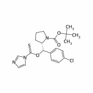 CC(C)(C)OC(=O)N1CCC[C@H]1C(OC(=S)n1ccnc1)c1ccc(Cl)cc1